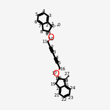 C[C@H]1c2ccccc2C[C@H]1OCC#CC#CCO[C@@H]1Cc2ccccc2[C@@H]1C